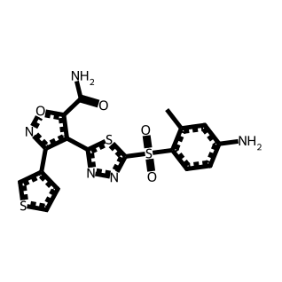 Cc1cc(N)ccc1S(=O)(=O)c1nnc(-c2c(-c3ccsc3)noc2C(N)=O)s1